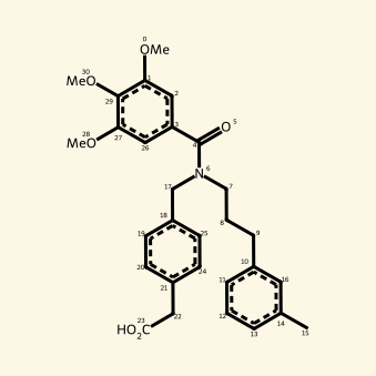 COc1cc(C(=O)N(CCCc2cccc(C)c2)Cc2ccc(CC(=O)O)cc2)cc(OC)c1OC